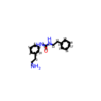 NCCc1cccc(NC(=O)NCCc2ccccc2)c1